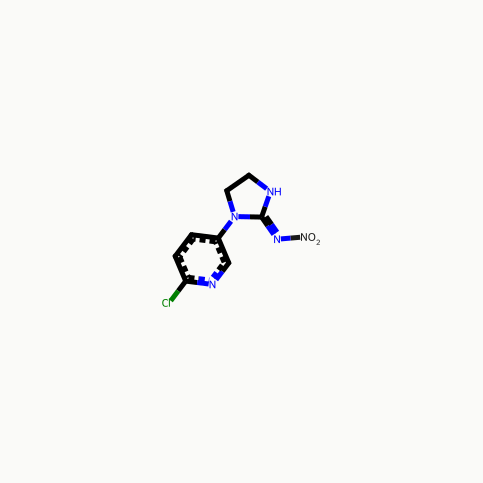 O=[N+]([O-])N=C1NCCN1c1ccc(Cl)nc1